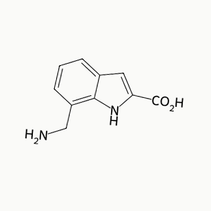 NCc1cccc2cc(C(=O)O)[nH]c12